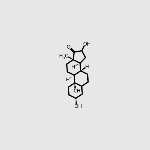 C[C@]12CC[C@H](O)CC1CC[C@@H]1[C@@H]2CC[C@]2(C)C(=O)C(O)C[C@@H]12